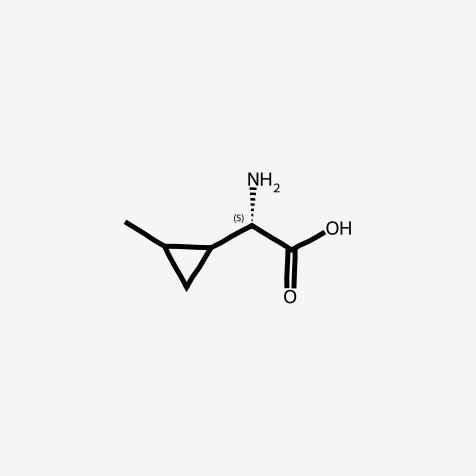 CC1CC1[C@H](N)C(=O)O